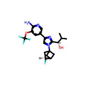 CC(C)[C@H](O)c1nc(-c2cnc(N)c(OC(F)(F)F)c2)cn1C12CC(C1)[C@@H](F)C2